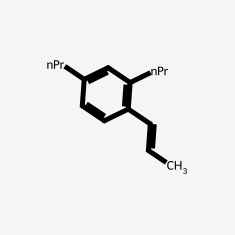 CC=Cc1ccc(CCC)cc1CCC